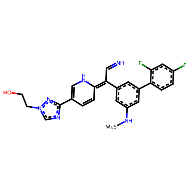 CSNc1cc(/C(C=N)=C2\C=CC(c3ncn(CCO)n3)=CN2)cc(-c2ccc(F)cc2F)c1